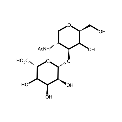 CC(=O)N[C@@H]1CO[C@@H](CO)C(O)[C@H]1O[C@H]1O[C@@H](C(=O)O)C(O)[C@H](O)[C@@H]1O